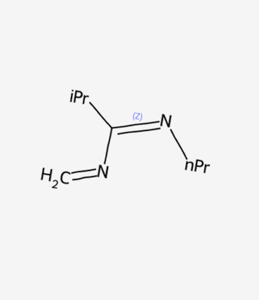 C=N/C(=N\CCC)C(C)C